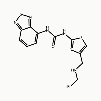 CC(C)CNCc1csc(NC(=O)Nc2cccc3nsnc23)n1